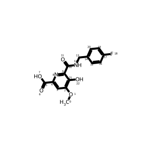 COc1cc(C(=O)O)nc(C(=O)NCc2ccc(F)cc2)c1O